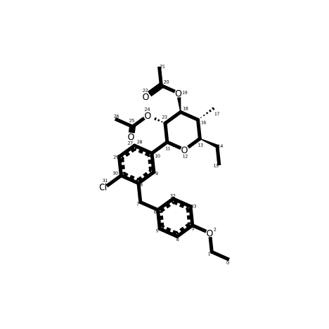 CCOc1ccc(Cc2cc(C3O[C@H](CC)[C@@H](C)[C@H](OC(C)=O)[C@H]3OC(C)=O)ccc2Cl)cc1